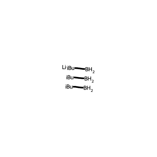 BC(C)CC.BC(C)CC.BC(C)CC.[Li]